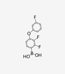 OB(O)c1ccc(Oc2cccc(F)c2)c(F)c1F